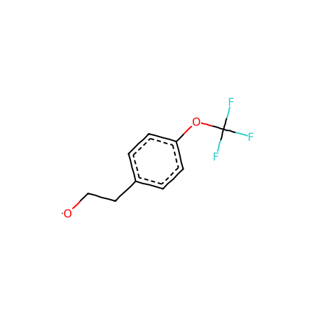 [O]CCc1ccc(OC(F)(F)F)cc1